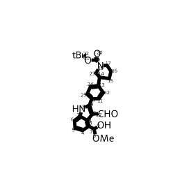 COC(O)c1cccc2[nH]c(-c3ccc(C4CCCN(C(=O)OC(C)(C)C)C4)cc3)c(C=O)c12